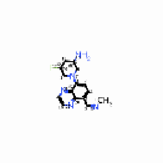 C/N=C\c1ccc(N2C[C@H](N)C[C@H](F)C2)c2nccnc12